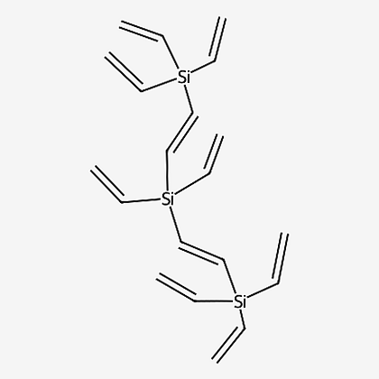 C=C[Si](C=C)(C=C)C=C[Si](C=C)(C=C)C=C[Si](C=C)(C=C)C=C